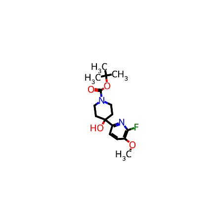 COc1ccc(C2(O)CCN(C(=O)OC(C)(C)C)CC2)nc1F